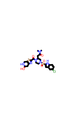 CN(C)C(=O)CC1CN(S(=O)(=O)c2cc3cc(Cl)ccc3[nH]2)CCN1C(=O)c1nc2c(s1)CNC(O)C2